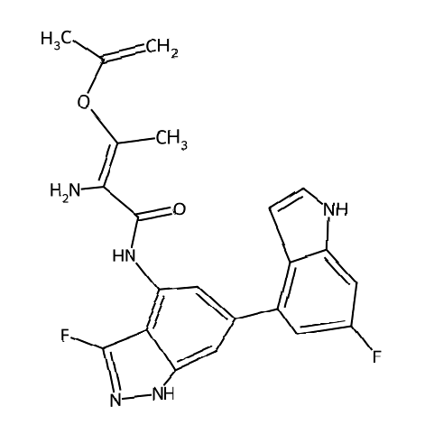 C=C(C)O/C(C)=C(\N)C(=O)Nc1cc(-c2cc(F)cc3[nH]ccc23)cc2[nH]nc(F)c12